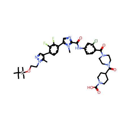 Cc1c(-c2ccc(-c3cnc(C(=O)Nc4ccc(C(=O)N5CCN(C(=O)C6CCN(C(=O)O)CC6)CC5)c(Cl)c4)n3C)c(F)c2F)cnn1CCO[Si](C)(C)C(C)(C)C